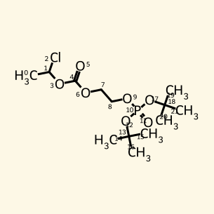 CC(Cl)OC(=O)OCCOP(=O)(OC(C)(C)C)OC(C)(C)C